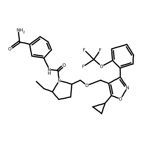 CCC1CCC(COCc2c(-c3ccccc3OC(F)(F)F)noc2C2CC2)N1C(=O)Nc1cccc(C(N)=O)c1